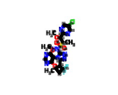 COc1ncnc(OC)c1-n1c(NS(=O)(=O)[C@@H](C)[C@H](OC)c2ncc(Cl)cn2)nnc1C1CCC1(F)F